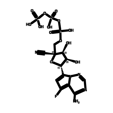 N#C[C@]1(COP(=O)(O)OP(=O)(O)OP(=O)(O)O)O[C@@H](c2cc(F)c3c(N)ncnn23)[C@H](O)[C@@H]1O